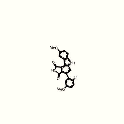 COc1ccc(Cl)c(-c2cc3[nH]c4ccc(OC)cc4c3c3c2C(=O)NC3=O)c1